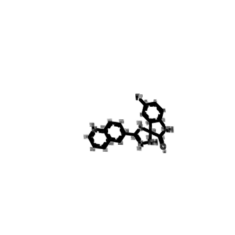 O=C1Nc2ccc(F)cc2C12NN=C(c1ccc3ncccc3c1)S2